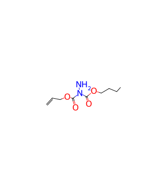 C=CCOC(=O)N(N)C(=O)OCCCC